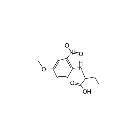 CCC(Nc1ccc(OC)cc1[N+](=O)[O-])C(=O)O